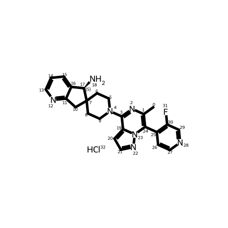 Cc1nc(N2CCC3(CC2)Cc2ncccc2[C@H]3N)c2ccnn2c1-c1ccncc1F.Cl